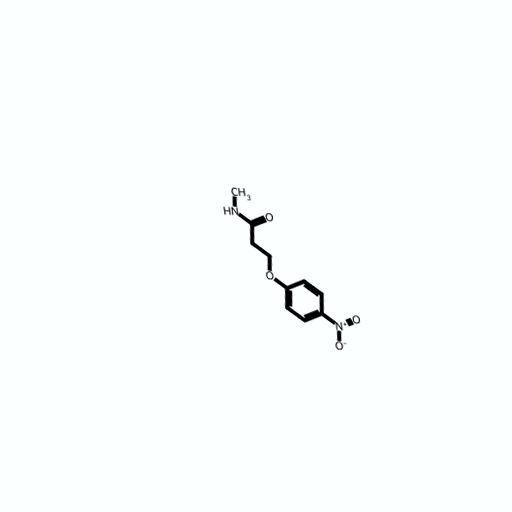 CNC(=O)CCOc1ccc([N+](=O)[O-])cc1